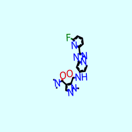 CN(C)C(=O)c1cnn(C)c1C(=O)Nc1ccn2nc(-c3cccc(F)n3)nc2c1